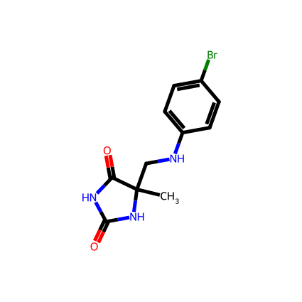 CC1(CNc2ccc(Br)cc2)NC(=O)NC1=O